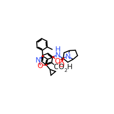 Cc1ccccc1-c1noc(C2CC2)c1COC1CC2CCC(C1)N2C(=O)Nc1ccccc1C(=O)O